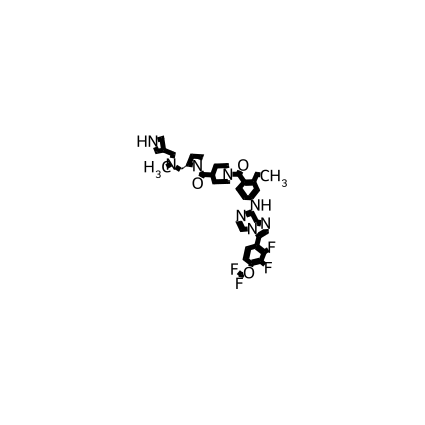 CCc1cc(Nc2nccn3c(-c4ccc(OC(F)F)c(F)c4F)cnc23)ccc1C(=O)N1CCC(C(=O)N2CC[C@H]2CN(C)CC2CNC2)CC1